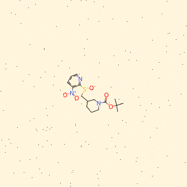 CC(C)(C)OC(=O)N1CCCC(C[S+]([O-])c2ncccc2[N+](=O)[O-])C1